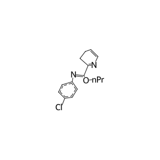 CCCOC(=Nc1ccc(Cl)cc1)C1=NC=CCC1